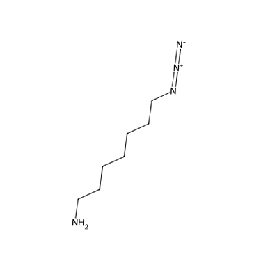 [N-]=[N+]=NCCCCCCCN